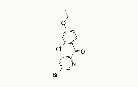 CCOc1ccc(C(=O)c2ccc(Br)cn2)c(Cl)c1